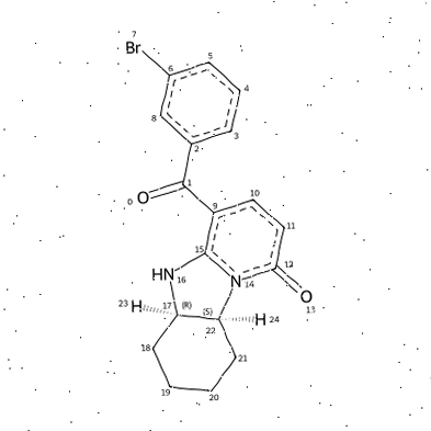 O=C(c1cccc(Br)c1)c1ccc(=O)n2c1N[C@@H]1CCCC[C@@H]12